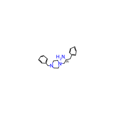 N[C@H](Cc1ccccc1)CN1CCN(Cc2ccccc2)CC1